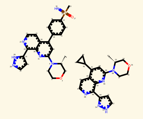 C[C@@H]1COCCN1c1cc(-c2ccc(S(C)(=N)=O)cc2)c2ccnc(-c3ccn[nH]3)c2n1.C[C@@H]1COCCN1c1cc(C2CC2)c2ccnc(-c3cc[nH]n3)c2n1